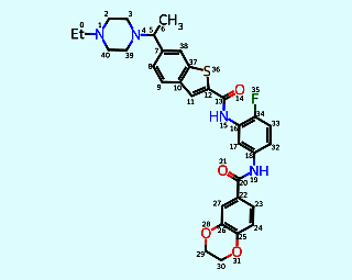 CCN1CCN(C(C)c2ccc3cc(C(=O)Nc4cc(NC(=O)c5ccc6c(c5)OCCO6)ccc4F)sc3c2)CC1